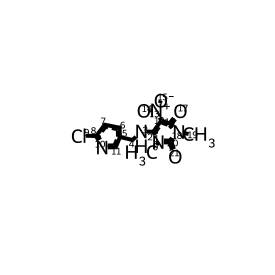 Cn1c(NCc2ccc(Cl)nc2)c([N+](=O)[O-])c(=O)n(C)c1=O